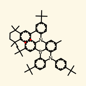 Cc1cc2c3c(c1)N(c1ccc(C(C)(C)C)cc1-c1ccc4c(c1)C(C)(C)CCC4(C)C)c1ccc(C(C)(C)C)cc1B3c1cc(C(C)(C)C)ccc1N2c1ccc(C(C)(C)C)cc1